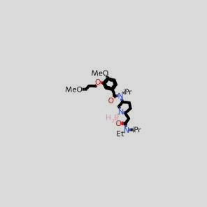 BN1CC(N(C(=O)c2ccc(OC)c(OCCCOC)c2)C(C)C)CCC1CC(=O)N(CC)C(C)C